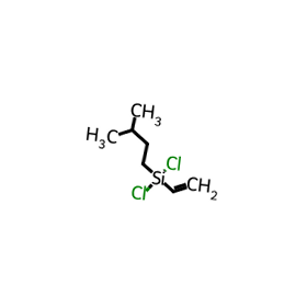 C=C[Si](Cl)(Cl)CCC(C)C